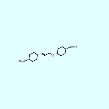 CCCCC[C@H]1CC[C@H](/C=C/CO[C@H]2CC[C@H](CCCCC)CC2)CC1